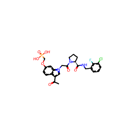 CC(=O)c1cn(CC(=O)N2CCC[C@H]2C(=O)NCc2cccc(Cl)c2F)c2cc(OCP(=O)(O)O)ccc12